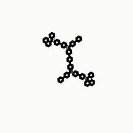 c1ccc(-c2ccc(N(c3ccc(-c4ccc(-c5ccc(N(c6ccc(-c7ccccc7)cc6)c6ccc(-c7ccc(N(c8ccccc8)c8cccc9ccccc89)cc7)cc6)cc5)cc4)cc3)c3ccc(-c4ccc(N(c5ccccc5)c5cccc6ccccc56)cc4)cc3)cc2)cc1